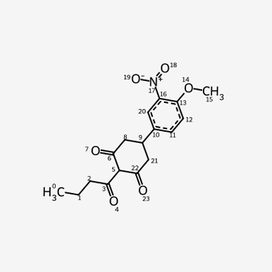 CCCC(=O)C1C(=O)CC(c2ccc(OC)c([N+](=O)[O-])c2)CC1=O